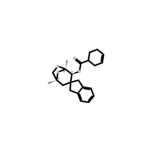 O=C(O[C@@H]1[C@@H]2OC[C@H](CC13Cc1ccccc1C3)O2)C1CC=CCC1